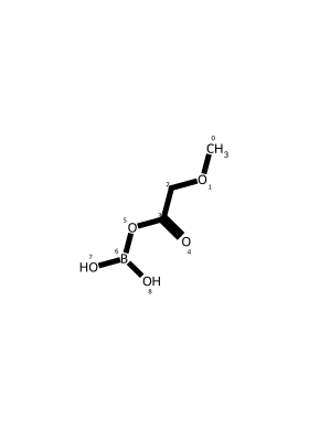 COCC(=O)OB(O)O